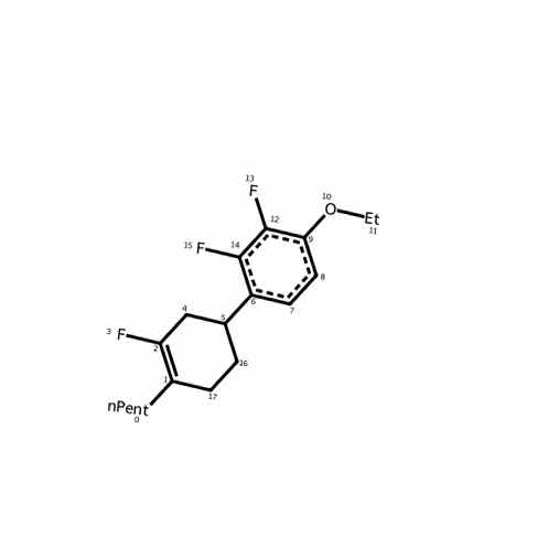 CCCCCC1=C(F)CC(c2ccc(OCC)c(F)c2F)CC1